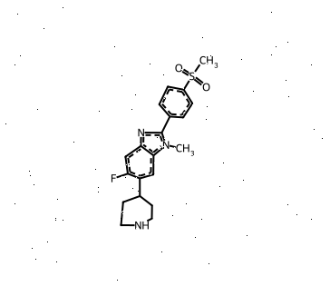 Cn1c(-c2ccc(S(C)(=O)=O)cc2)nc2cc(F)c(C3CCNCC3)cc21